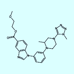 COCCOC(=O)c1ccc2c(c1)ncn2-c1cccc(N2CCN(c3nnnn3C)CC2C)c1